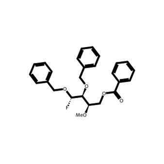 CO[C@H](COC(=O)c1ccccc1)[C@H](OCc1ccccc1)[C@H](F)OCc1ccccc1